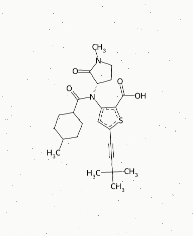 CC1CCC(C(=O)N(c2cc(C#CC(C)(C)C)sc2C(=O)O)[C@H]2CCN(C)C2=O)CC1